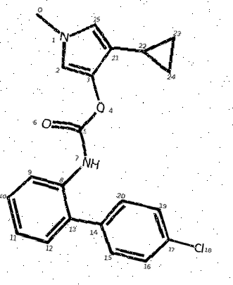 Cn1cc(OC(=O)Nc2ccccc2-c2ccc(Cl)cc2)c(C2CC2)c1